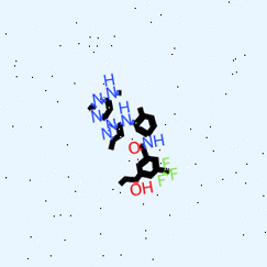 CCC(O)c1cc(C(=O)Nc2ccc(C)c(Nc3cc(C)nn3-c3cc(NC)ncn3)c2)cc(C(F)(F)F)c1